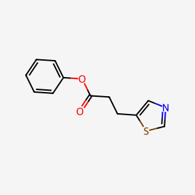 O=C(CCc1cncs1)Oc1ccccc1